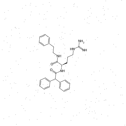 N=C(N)NCCC[C@@H](NC(=O)C(c1ccccc1)c1ccccc1)C(=O)NCCc1ccccc1